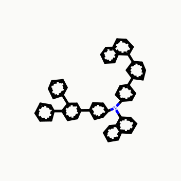 c1ccc(-c2ccc(-c3ccc(N(c4ccc(-c5cccc(-c6cccc7ccccc67)c5)cc4)c4cccc5ccccc45)cc3)cc2-c2ccccc2)cc1